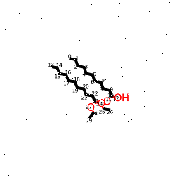 CCCCCCCCCCC(=O)O.CCCCCCCCCCC(OCC)OCC